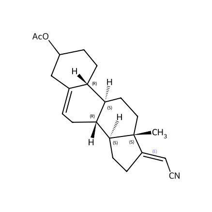 CC(=O)OC1CC[C@H]2C(=CC[C@@H]3[C@@H]2CC[C@]2(C)/C(=C/C#N)CC[C@@H]32)C1